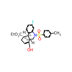 CCOC(=O)[C@H]1CC=C(CO)[C@H]2CN(S(=O)(=O)c3ccc(C)cc3)c3cc(F)ccc3[C@H]12